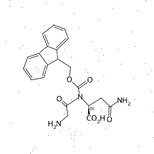 NCC(=O)N(C(=O)OCC1c2ccccc2-c2ccccc21)[C@@H](CC(N)=O)C(=O)O